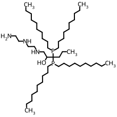 CCCCCCCCCCP(CCCCCCCCCC)C(CCC)(C(O)CNCCNCCN)P(CCCCCCCCCC)CCCCCCCCCC